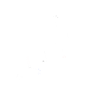 N#Cc1ccc2c(c1)C[C@@H](NC(=O)C(F)(F)F)CO2